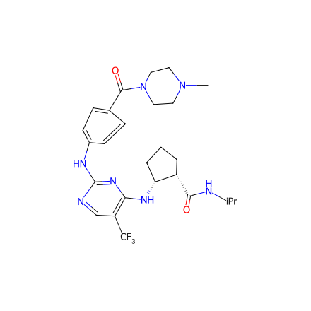 CC(C)NC(=O)[C@H]1CCC[C@H]1Nc1nc(Nc2ccc(C(=O)N3CCN(C)CC3)cc2)ncc1C(F)(F)F